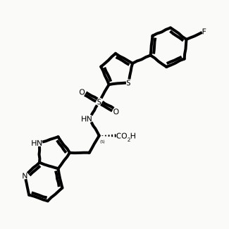 O=C(O)[C@H](Cc1c[nH]c2ncccc12)NS(=O)(=O)c1ccc(-c2ccc(F)cc2)s1